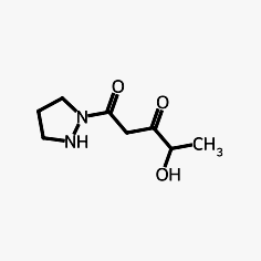 CC(O)C(=O)CC(=O)N1CCCN1